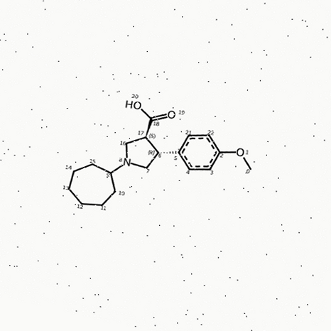 COc1ccc([C@@H]2CN(C3CCCCCC3)C[C@H]2C(=O)O)cc1